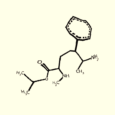 CNC(CC(c1ccccc1)C(C)N)C(=O)OC(C)C